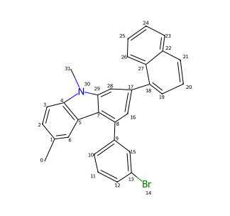 Cc1ccc2c(c1)c1c(-c3cccc(Br)c3)cc(-c3cccc4ccccc34)cc1n2C